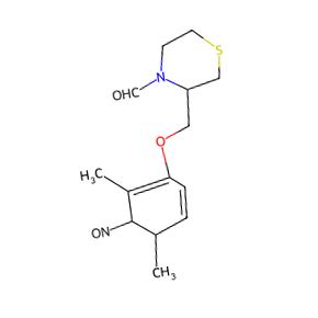 CC1=C(OCC2CSCCN2C=O)C=CC(C)C1N=O